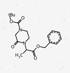 CC(C(=O)OCc1ccccc1)N1CCN(C(=O)OC(C)(C)C)CC1=O